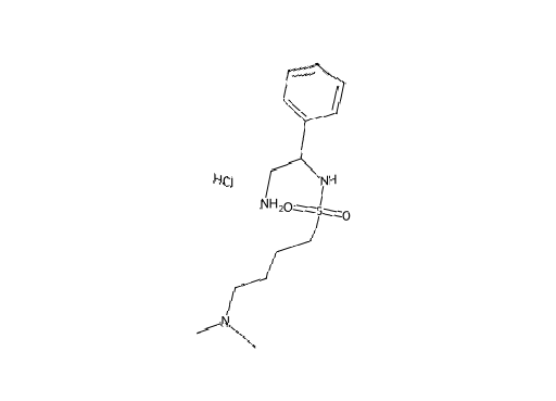 CN(C)CCCCS(=O)(=O)NC(CN)c1ccccc1.Cl